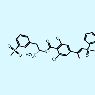 C/C(=C\P(C)(=O)c1ccccc1)c1cc(Cl)c(C(=O)N[C@@H](Cc2cccc(S(C)(=O)=O)c2)C(=O)O)c(Cl)c1